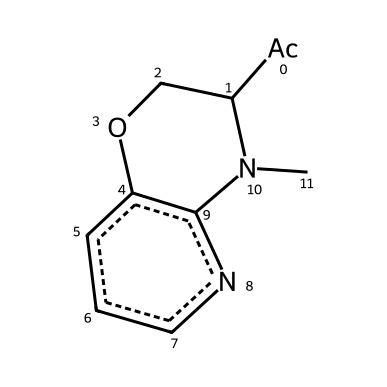 CC(=O)C1COc2cccnc2N1C